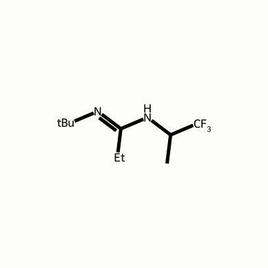 CC/C(=N\C(C)(C)C)NC(C)C(F)(F)F